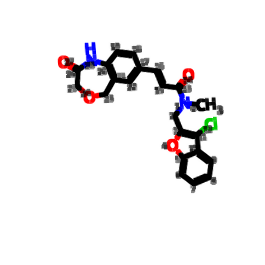 CN(Cc1oc2ccccc2c1Cl)C(=O)C=Cc1ccc2c(c1)COCC(=O)N2